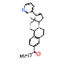 COC(=O)c1ccc2c(c1)CCC1C2CCC2(C)C(c3cccnc3)=CCC12